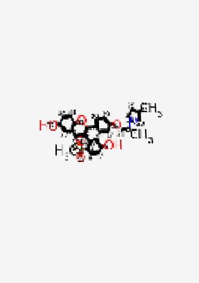 CC1=C(c2cc(O)ccc2S(C)(=O)=O)C(c2ccc(OCC(C)N3CCC(C)C3)cc2)Oc2ccc(O)cc21